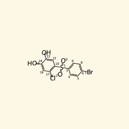 O=S(=O)(c1ccc(Br)cc1)c1cc(O)c(O)cc1Cl